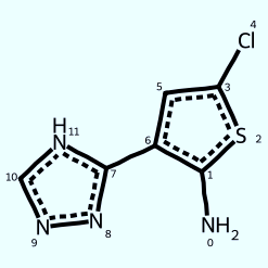 Nc1sc(Cl)cc1-c1nnc[nH]1